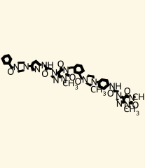 C[C@H]1CN(C(=O)c2cccc(Cn3c(=O)c4c(ncn4CC(=O)Nc4ccc(N5CCN(C(=O)c6ccccc6)CC5)cn4)n(C)c3=O)c2)CCN1c1ccc(NC(=O)Cn2cnc3c2c(=O)n(C)c(=O)n3C)cc1